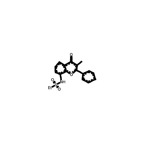 CCS(=O)(=O)Nc1cccc2c(=O)c(C)c(-c3ccccc3)oc12